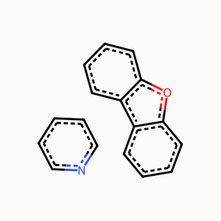 c1ccc2c(c1)oc1ccccc12.c1ccncc1